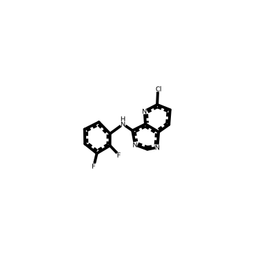 Fc1cccc(Nc2ncnc3ccc(Cl)nc23)c1F